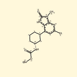 CCc1cc(N2CCC[C@@H](NC(=O)OC(C)(C)C)C2)c2[nH]c(=O)n(C)c2n1